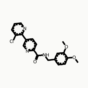 COc1ccc(CNC(=O)c2ccc(-c3ncccc3Cl)cn2)cc1OC